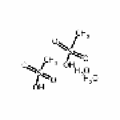 CS(=O)(=O)O.CS(=O)(=O)O.O.O